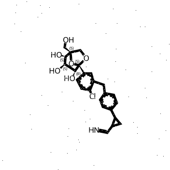 N=CC1CC1c1ccc(Cc2cc([C@]34OC[C@](CO)(O3)[C@@H](O)[C@H](O)[C@H]4O)ccc2Cl)cc1